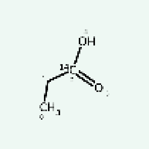 CC[14C](=O)O